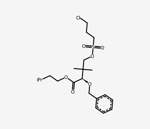 CC(C)CCOC(=O)[C@H](OCc1ccccc1)C(C)(C)COS(=O)(=O)CCCCl